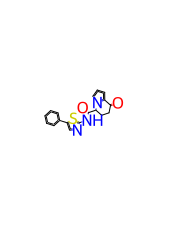 O=C1CCC(C(=O)Nc2ncc(-c3ccccc3)s2)n2cccc21